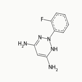 NC1=CC(N)=NN(c2ccccc2F)N1